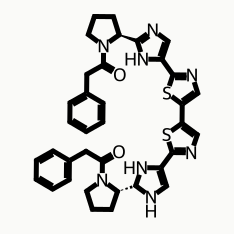 O=C(Cc1ccccc1)N1CCC[C@H]1c1ncc(-c2ncc(-c3cnc(C4=CNC([C@@H]5CCCN5C(=O)Cc5ccccc5)N4)s3)s2)[nH]1